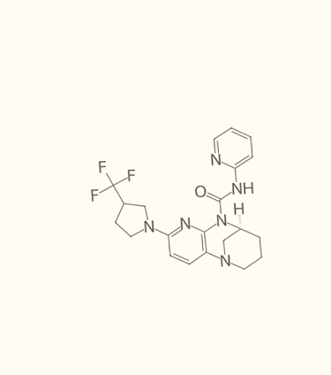 O=C(Nc1ccccn1)N1c2nc(N3CCC(C(F)(F)F)C3)ccc2N2CCC[C@H]1C2